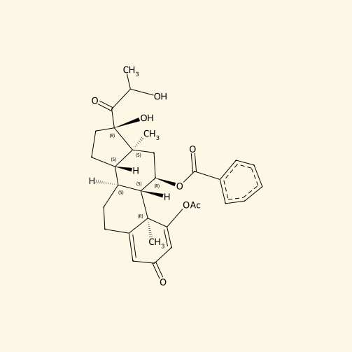 CC(=O)OC1=CC(=O)C=C2CC[C@@H]3[C@H]([C@H](OC(=O)c4ccccc4)C[C@@]4(C)[C@H]3CC[C@]4(O)C(=O)C(C)O)[C@]21C